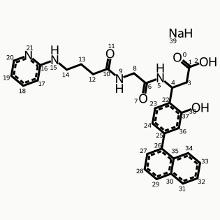 O=C(O)CC(NC(=O)CNC(=O)CCCNc1ccccn1)c1ccc(-c2cccc3ccccc23)cc1O.[NaH]